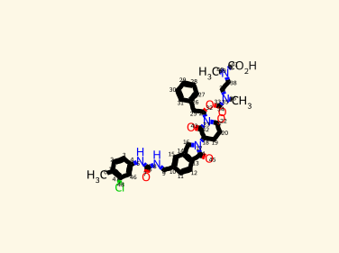 Cc1ccc(NC(=O)NCc2ccc3c(c2)CN(C2CCC(=O)N(C(Cc4ccccc4)OC(=O)N(C)CCN(C)C(=O)O)C2=O)C3=O)cc1Cl